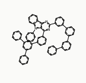 c1ccc(-c2cccc(-c3cccc(-c4cccc(-c5nc(-c6cccc(-c7cc(-c8ccccc8)cc(-c8ccccc8)c7)c6)c6c(n5)c5ccccc5n6-c5ccccc5)c4)c3)c2)cc1